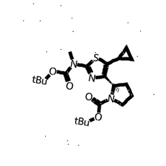 CN(C(=O)OC(C)(C)C)c1nc([C@H]2CCCN2C(=O)OC(C)(C)C)c(C2CC2)s1